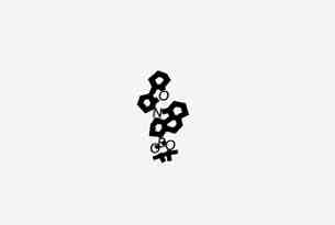 CC1(C)OB(c2ccc3c4c2ccc2cccc(c24)n3-c2cccc3c2oc2ccccc23)OC1(C)C